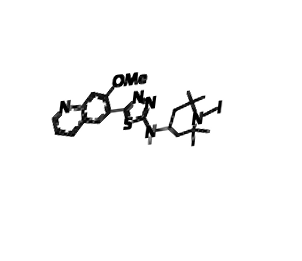 COc1cc2ncccc2cc1-c1nnc(N(C)C2CC(C)(C)N(I)C(C)(C)C2)s1